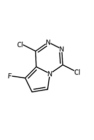 Fc1ccn2c(Cl)nnc(Cl)c12